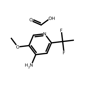 COc1cnc(C(C)(F)F)cc1N.O=CO